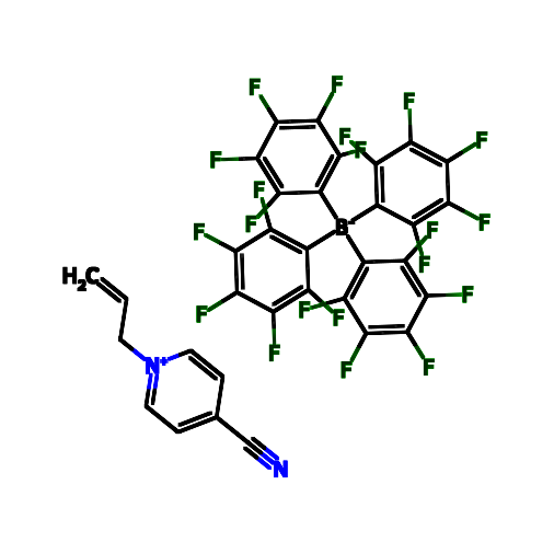 C=CC[n+]1ccc(C#N)cc1.Fc1c(F)c(F)c([B-](c2c(F)c(F)c(F)c(F)c2F)(c2c(F)c(F)c(F)c(F)c2F)c2c(F)c(F)c(F)c(F)c2F)c(F)c1F